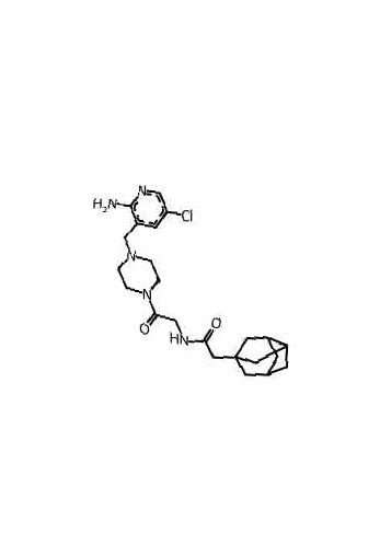 Nc1ncc(Cl)cc1CN1CCN(C(=O)CNC(=O)CC23CC4CC(C2)C(C4)C3)CC1